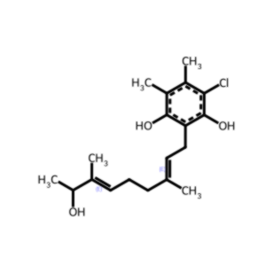 C/C(=C\Cc1c(O)c(C)c(C)c(Cl)c1O)CC/C=C(\C)C(C)O